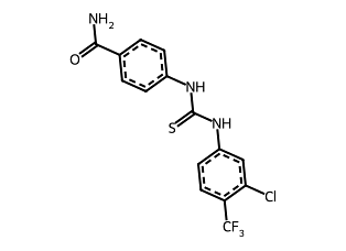 NC(=O)c1ccc(NC(=S)Nc2ccc(C(F)(F)F)c(Cl)c2)cc1